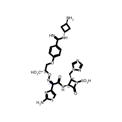 N=C(N[C@H]1C[C@H](N)C1)c1ccc(OC[C@H](O/N=C(\C(=O)N[C@@H]2C(=O)N(S(=O)(=O)O)[C@@H]2Cn2cncn2)c2csc(N)n2)C(=O)O)cc1